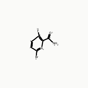 NC(=O)c1nc(Br)ccc1F